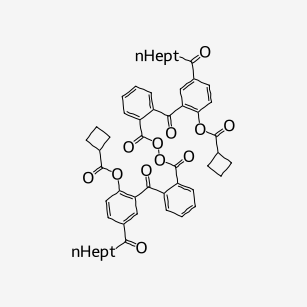 CCCCCCCC(=O)c1ccc(OC(=O)C2CCC2)c(C(=O)c2ccccc2C(=O)OOC(=O)c2ccccc2C(=O)c2cc(C(=O)CCCCCCC)ccc2OC(=O)C2CCC2)c1